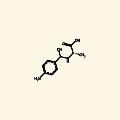 C[C@H](NC(O)c1ccc(N)cc1)C(=O)O